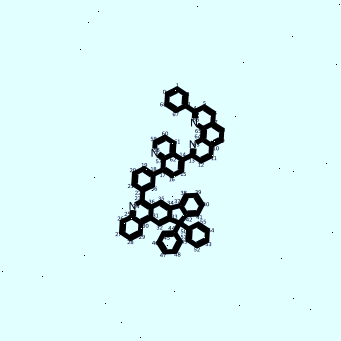 c1ccc(-c2ccc3ccc4ccc(-c5ccc(-c6cccc(-c7nc8ccccc8c8cc9c(cc78)-c7ccccc7C9(c7ccccc7)c7ccccc7)c6)c6ncccc56)nc4c3n2)cc1